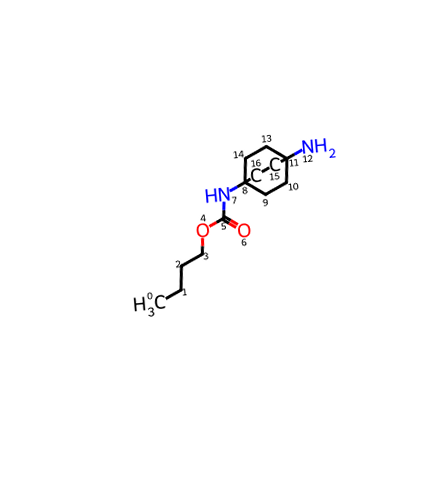 CCCCOC(=O)NC12CCC(N)(CC1)CC2